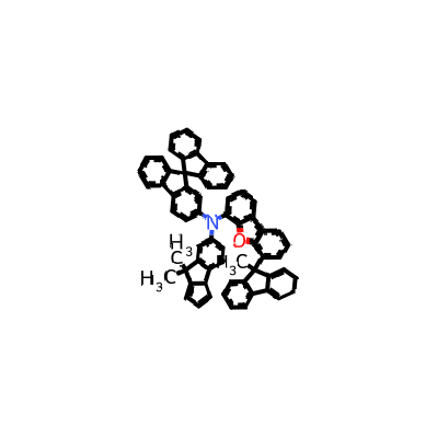 CC1(C)C2=CC=CC2c2ccc(N(c3ccc4c(c3)C3(c5ccccc5-c5ccccc53)c3ccccc3-4)c3cccc4c3oc3c(C5(C)C6=CCCC=C6c6ccccc65)cccc34)cc21